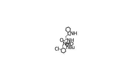 CCCCOC(=O)NC(Cc1c[nH]c2ccccc12)C(=O)NCc1ccccc1Cl